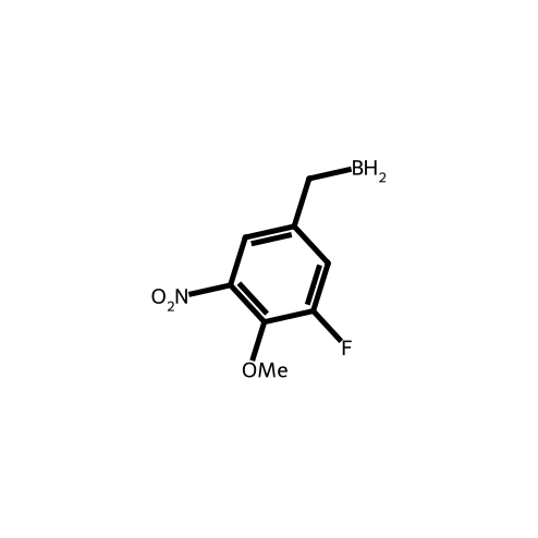 BCc1cc(F)c(OC)c([N+](=O)[O-])c1